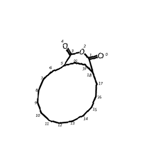 O=C1OC(=O)C2CCCCCCCCCCCCC1CC2